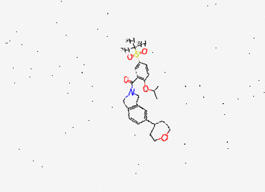 [3H]C([3H])([3H])S(=O)(=O)c1ccc(OC(C)C)c(C(=O)N2Cc3ccc(C4CCOCC4)cc3C2)c1